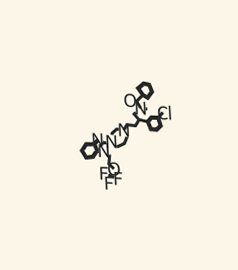 CN(CC(CCN1CCCN(c2nc3ccccc3n2CCOC(F)(F)F)CC1)c1cccc(Cl)c1)C(=O)c1ccccc1